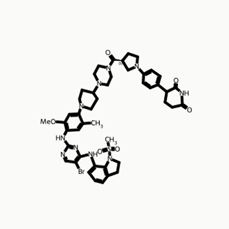 COc1cc(N2CCC(N3CCN(C(=O)[C@H]4CCN(c5ccc(C6CCC(=O)NC6=O)cc5)C4)CC3)CC2)c(C)cc1Nc1ncc(Br)c(Nc2cccc3c2N(S(C)(=O)=O)CC3)n1